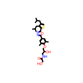 Cc1cc(-c2nnc(-c3scc(CC(C)C)c3CC(C)C)o2)cc(C)c1OCC(O)CNC(=O)CO